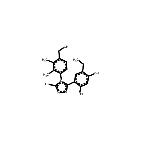 CCc1cc(-c2nnc(S)n2-c2ccc(CO)c(C)c2C)c(O)cc1O